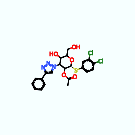 CC(=O)OC1C(n2cc(-c3ccccc3)nn2)[C@@H](O)C(CO)O[C@@H]1Sc1ccc(Cl)c(Cl)c1